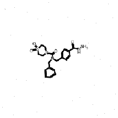 NNC(=O)c1ccc(CN(Cc2ccccc2)C(=O)N2CCS(=O)(=O)CC2)cc1